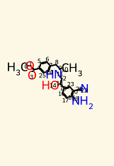 COC(=O)c1ccc(CC(C)NCC(O)c2ccc(N)c(C#N)c2)cc1